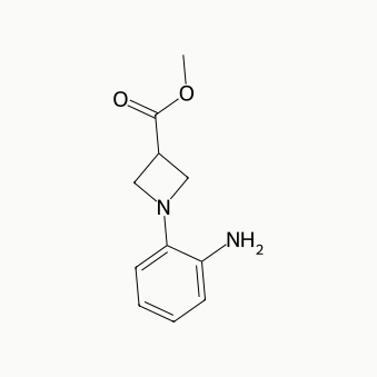 COC(=O)C1CN(c2ccccc2N)C1